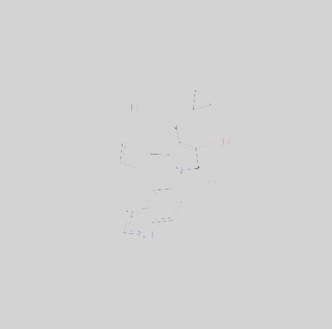 O=C(O)Oc1ccc(C2C(C(=O)C3CC3)=C(O)C(=O)N2c2ccc3[nH]cnc3c2)o1